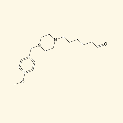 COc1ccc(CN2CCN(CCCCCC=O)CC2)cc1